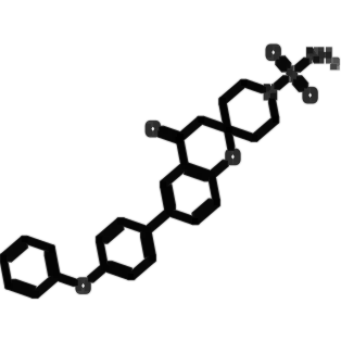 NS(=O)(=O)N1CCC2(CC1)CC(=O)c1cc(-c3ccc(Oc4ccccc4)cc3)ccc1O2